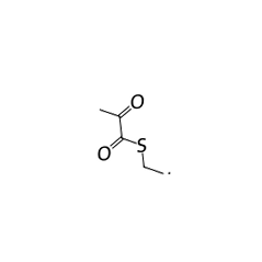 [CH2]CSC(=O)C(C)=O